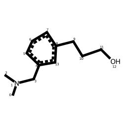 CN(C)Cc1cccc(CCCO)c1